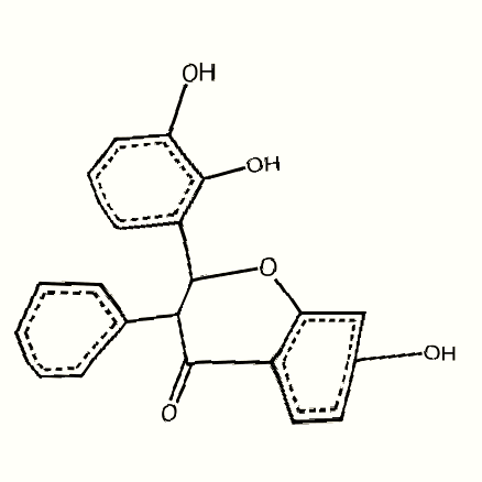 O=C1c2ccc(O)cc2OC(c2cccc(O)c2O)C1c1ccccc1